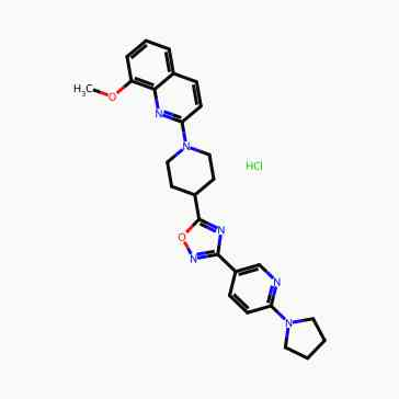 COc1cccc2ccc(N3CCC(c4nc(-c5ccc(N6CCCC6)nc5)no4)CC3)nc12.Cl